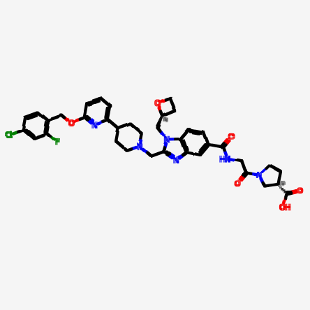 O=C(NCC(=O)N1CC[C@H](C(=O)O)C1)c1ccc2c(c1)nc(CN1CCC(c3cccc(OCc4ccc(Cl)cc4F)n3)CC1)n2C[C@@H]1CCO1